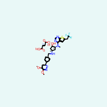 COc1cc(-c2ccc(CN[C@H]3C[C@@H](O)[C@@H](N(C)c4ncnc5sc(CC(F)(F)F)cc45)C3)cc2)nnc1OC.O=C(O)/C=C/C(=O)O